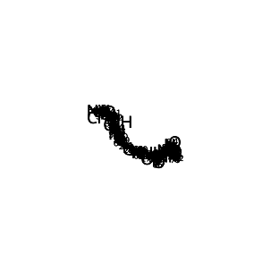 CCC1C(=O)N(C)c2cnc(Nc3ccc(C(=O)NC4CCN(CCOCCC5CCN(c6ncc(C(=O)NC7C(C)(C)C(Oc8ccc(C#N)c(Cl)c8)C7(C)C)cn6)CC5)CC4)cc3OC)nc2N1C1CCCC1